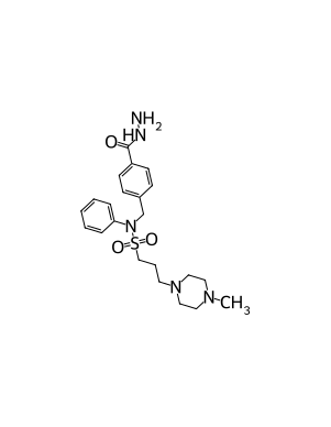 CN1CCN(CCCS(=O)(=O)N(Cc2ccc(C(=O)NN)cc2)c2ccccc2)CC1